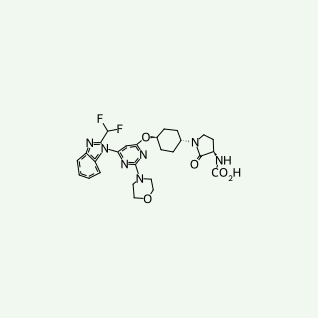 O=C(O)N[C@@H]1CCN([C@H]2CC[C@H](Oc3cc(-n4c(C(F)F)nc5ccccc54)nc(N4CCOCC4)n3)CC2)C1=O